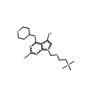 C[Si](C)(C)CCOCn1cc(C#N)c2c(OC3CCOCC3)nc(Cl)nc21